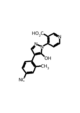 Cc1cc(C#N)ccc1-c1cnn(-c2ccncc2C(=O)O)c1O